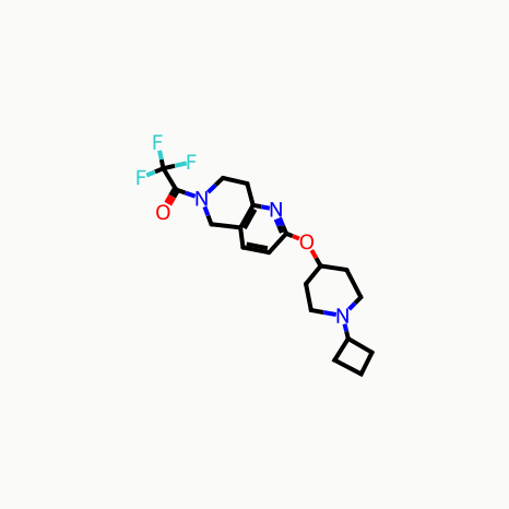 O=C(N1CCc2nc(OC3CCN(C4CCC4)CC3)ccc2C1)C(F)(F)F